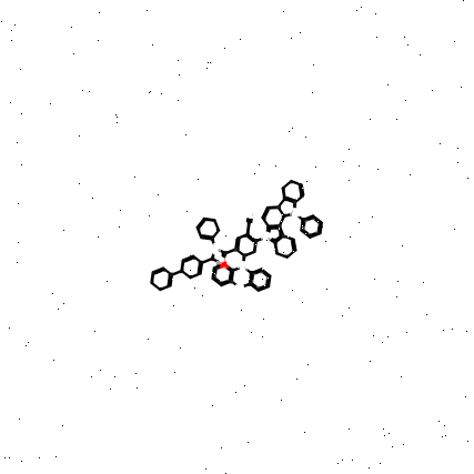 N#CC1=C(n2c3c(c4c2CCC=C4)C2C(C=C3)C3=C(C=CCC3)N2c2ccccc2)CC(N2c3ccccc3Sc3ccccc32)C(C2=NC(C3=CCC(C4=CCCC=C4)C=C3)N2C2=CC=CCC2)=C1